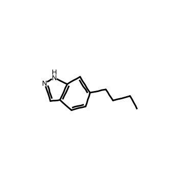 CCCCc1ccc2cn[nH]c2c1